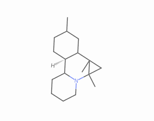 CC1CC[C@@H]2C3CCCCN3C3(C)CC3(C)C2C1